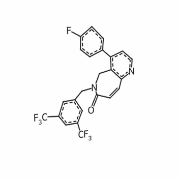 O=C1C=Cc2nccc(-c3ccc(F)cc3)c2CN1Cc1cc(C(F)(F)F)cc(C(F)(F)F)c1